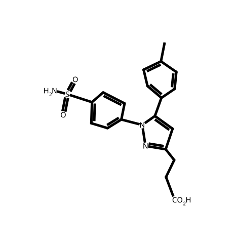 Cc1ccc(-c2cc(CCC(=O)O)nn2-c2ccc(S(N)(=O)=O)cc2)cc1